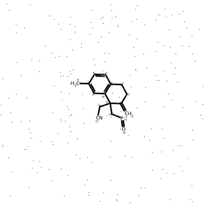 C=C1CCc2ccc(C)cc2C1(CC#N)CP=O